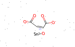 O=C([O-])/C=C\C(=O)[O-].[O]=[Sn+2]